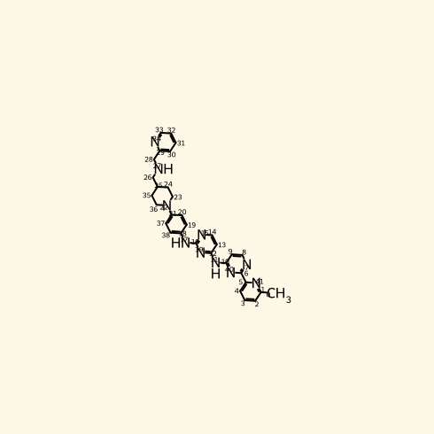 Cc1cccc(-c2nccc(Nc3ccnc(Nc4ccc(N5CCC(CNCc6ccccn6)CC5)cc4)n3)n2)n1